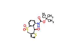 CC(C)(C)OC(=O)Nc1cccc2c1C(=O)c1sccc1CS2(=O)=O